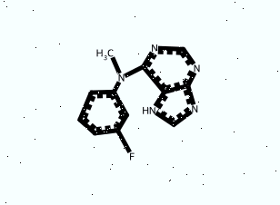 CN(c1cccc(F)c1)c1ncnc2nc[nH]c12